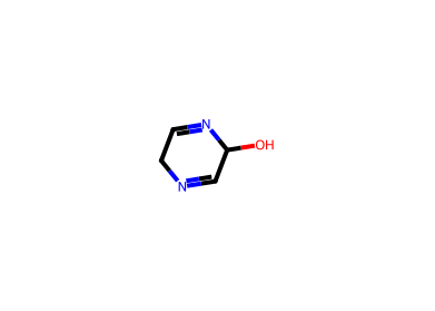 OC1C=NCC=N1